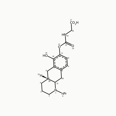 CCCN1CCC[C@@H]2Cc3c(ccc(OC(=O)NCC(=O)O)c3O)CC21